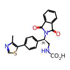 Cc1ncsc1-c1ccc([C@H](CNC(=O)O)N2C(=O)c3ccccc3C2=O)cc1